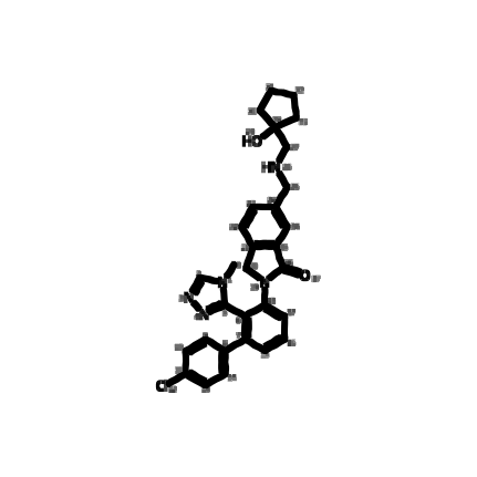 Cn1cnnc1-c1c(-c2ccc(Cl)cc2)cccc1N1Cc2ccc(CNCC3(O)CCCC3)cc2C1=O